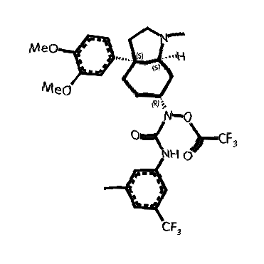 COc1ccc([C@@]23CC[C@@H](N(OC(=O)C(F)(F)F)C(=O)Nc4cc(C)cc(C(F)(F)F)c4)C[C@@H]2N(C)CC3)cc1OC